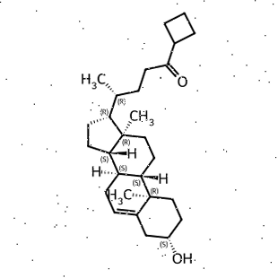 C[C@H](CCC(=O)C1CCC1)[C@H]1CC[C@H]2[C@@H]3CC=C4C[C@@H](O)CC[C@]4(C)[C@H]3CC[C@]12C